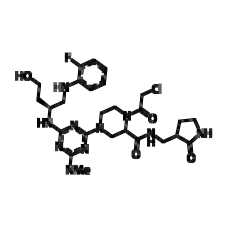 CNc1nc(N[C@@H](CCO)CNc2ccccc2F)nc(N2CCN(C(=O)CCl)C(C(=O)NCC3CCNC3=O)C2)n1